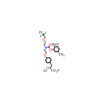 CCOC(Cc1ccc(OCCN(CCOCC(F)(F)CC)C(=O)Oc2cc(C)ccc2OC)cc1)C(=O)O